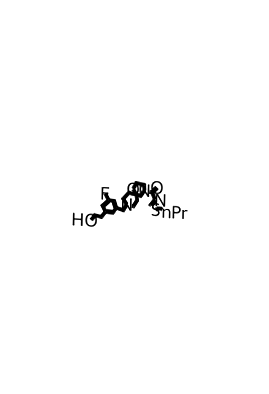 CCCc1nc(C(=O)N2CCOC3(CCN(Cc4cc(F)cc(CCO)c4)CC3)C2)cs1